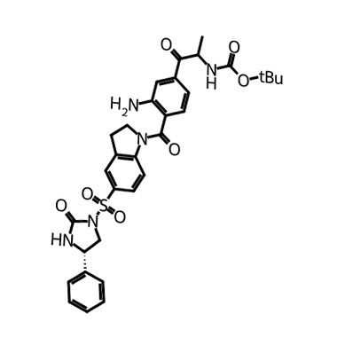 CC(NC(=O)OC(C)(C)C)C(=O)c1ccc(C(=O)N2CCc3cc(S(=O)(=O)N4C[C@H](c5ccccc5)NC4=O)ccc32)c(N)c1